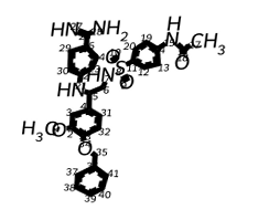 COc1cc(C(CNS(=O)(=O)c2ccc(NC(C)=O)cc2)Nc2ccc(C(=N)N)cc2)ccc1OCc1ccccc1